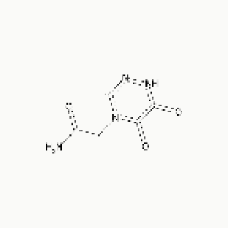 NC(=O)Cn1[c]n[nH]c(=O)c1=O